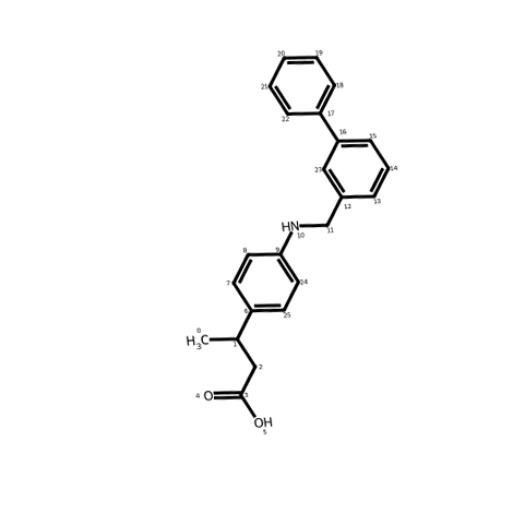 CC(CC(=O)O)c1ccc(NCc2cccc(-c3ccccc3)c2)cc1